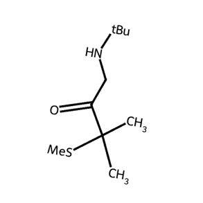 CSC(C)(C)C(=O)CNC(C)(C)C